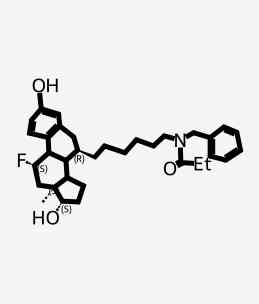 CCC(=O)N(CCCCCC[C@@H]1Cc2cc(O)ccc2C2C1C1CC[C@H](O)[C@@]1(C)C[C@@H]2F)Cc1ccccc1